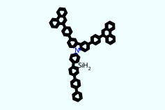 c1ccc(-c2ccc(-c3ccc4c(c3)[SiH2]c3cc(-n5c6ccc(-c7ccc(-c8cc9ccccc9c9ccccc89)cc7)cc6c6cc(-c7ccc(-c8cc9ccccc9c9ccccc89)cc7)ccc65)ccc3-4)cc2)cc1